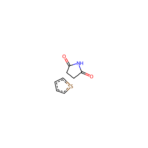 O=C1CCC(=O)N1.c1ccsc1